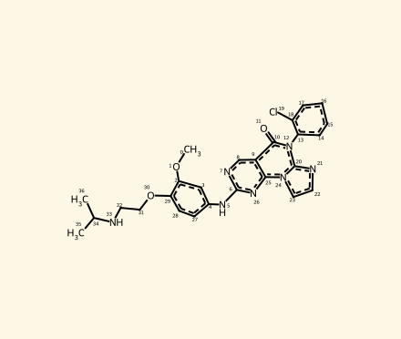 COc1cc(Nc2ncc3c(=O)n(-c4ccccc4Cl)c4nccn4c3n2)ccc1OCCNC(C)C